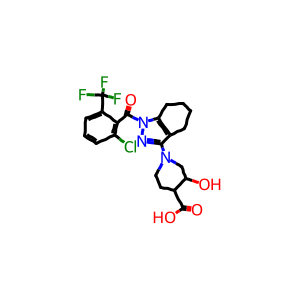 O=C(O)C1CCN(c2nn(C(=O)c3c(Cl)cccc3C(F)(F)F)c3c2CCCC3)CC1O